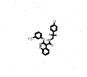 O=C(NCC(F)(F)c1ccc(Cl)cc1)c1c(Oc2cccc(C(F)(F)F)c2)nnc2ccccc12